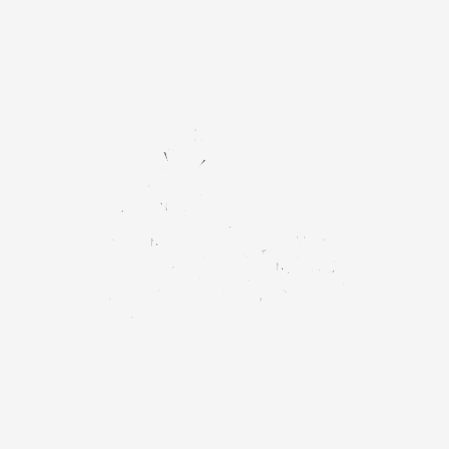 CCOC(=O)[C@H]1CCN(c2nc(-c3cc(C)ccc3OCc3cc(C)c4c(c3)CCN(C(=O)OC(C)(C)C)C4)cs2)C[C@H]1C